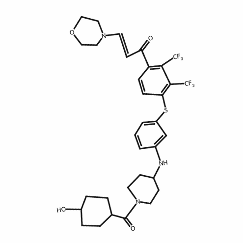 O=C(C=CN1CCOCC1)c1ccc(Sc2cccc(NC3CCN(C(=O)C4CCC(O)CC4)CC3)c2)c(C(F)(F)F)c1C(F)(F)F